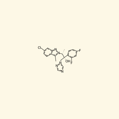 Cc1c2ccc(Cl)cc2nn1[C@H](C)[C@](O)(Cn1cncn1)c1ccc(F)cc1F